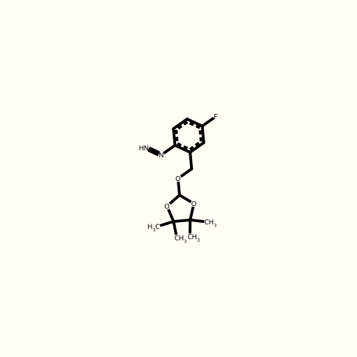 CC1(C)OC(OCc2cc(F)ccc2N=N)OC1(C)C